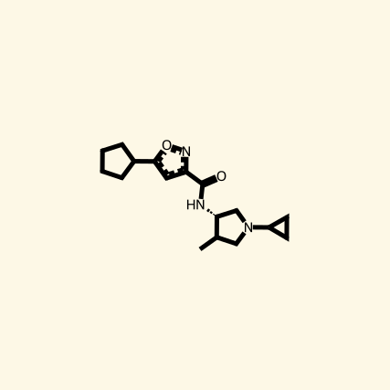 CC1CN(C2CC2)C[C@H]1NC(=O)c1cc(C2CCCC2)on1